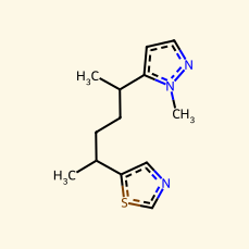 CC(CCC(C)c1ccnn1C)c1cncs1